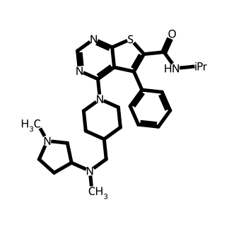 CC(C)NC(=O)c1sc2ncnc(N3CCC(CN(C)C4CCN(C)C4)CC3)c2c1-c1ccccc1